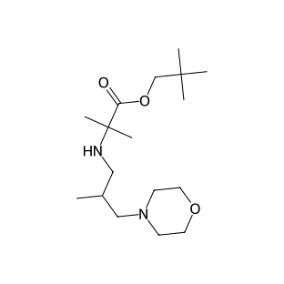 CC(CNC(C)(C)C(=O)OCC(C)(C)C)CN1CCOCC1